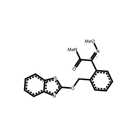 CNC(=O)/C(=N\OC)c1ccccc1COc1nc2ccccc2s1